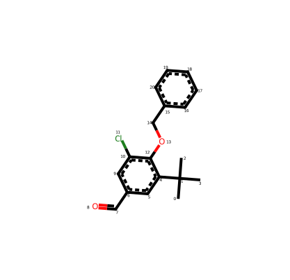 CC(C)(C)c1cc(C=O)cc(Cl)c1OCc1ccccc1